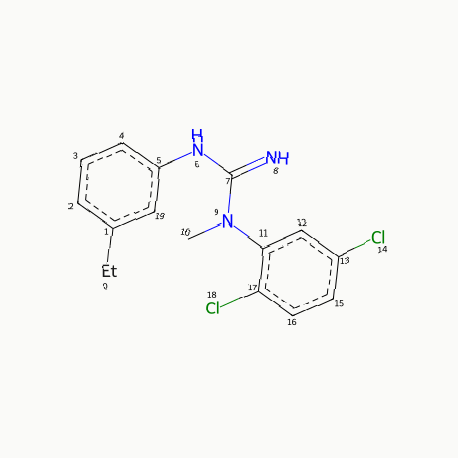 CCc1cccc(NC(=N)N(C)c2cc(Cl)ccc2Cl)c1